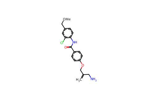 C=C(CN)COc1ccc(C(=O)Nc2ccc(COC)cc2Cl)cc1